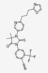 CC1(C)C(=O)N(c2ccc(C#N)c(C(F)(F)F)c2)C(=S)N1c1ccc(CCCc2ncco2)nc1